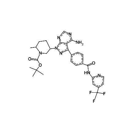 CC1CCC(n2nc(-c3ccc(C(=O)Nc4cc(C(F)(F)F)ccn4)cc3)c3c(N)ncnc32)CN1C(=O)OC(C)(C)C